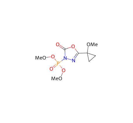 COOP(=O)(OOC)n1nc(C2(OC)CC2)oc1=O